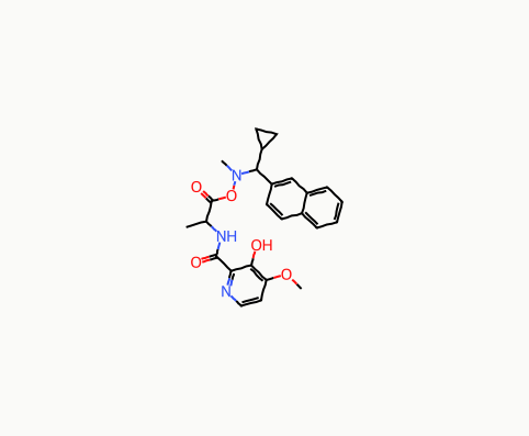 COc1ccnc(C(=O)NC(C)C(=O)ON(C)C(c2ccc3ccccc3c2)C2CC2)c1O